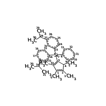 CC1=C(C)C(C)C([Si](c2ccccc2)(c2cccc(C(C)C)c2)c2cccc(C(C)C)c2)=C1C